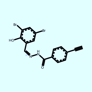 C#Cc1ccc(C(=O)N/N=C\c2cc(Br)cc(Br)c2O)cc1